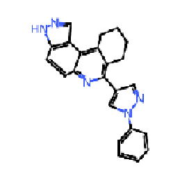 c1ccc(-n2cc(-c3nc4ccc5[nH]ncc5c4c4c3CCCC4)cn2)cc1